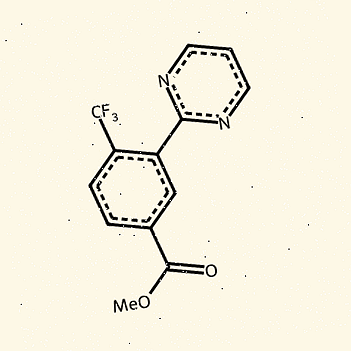 COC(=O)c1ccc(C(F)(F)F)c(-c2ncccn2)c1